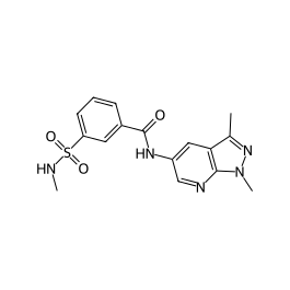 CNS(=O)(=O)c1cccc(C(=O)Nc2cnc3c(c2)c(C)nn3C)c1